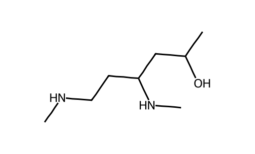 CNCCC(CC(C)O)NC